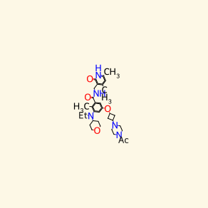 CCN(c1cc(OC2CC(N3CCN(C(C)=O)CC3)C2)cc(C(=O)NCc2c(C)cc(C)[nH]c2=O)c1C)C1CCOCC1